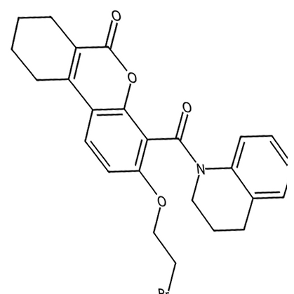 O=C(c1c(OCCBr)ccc2c3c(c(=O)oc12)CCCC3)N1CCCc2ccccc21